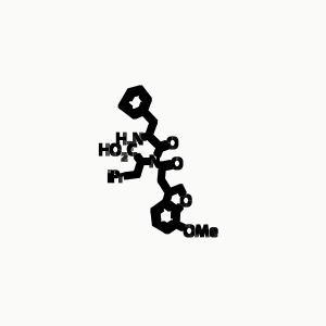 COc1cccc2c1OCC2CC(=O)N(C(=O)C(N)Cc1ccccc1)C(CC(C)C)C(=O)O